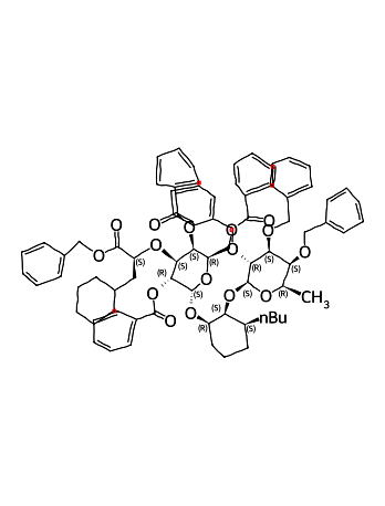 CCCC[C@H]1CCC[C@@H](O[C@H]2O[C@H](COC(=O)c3ccccc3)[C@H](OC(=O)c3ccccc3)[C@H](O[C@@H](CC3CCCCC3)C(=O)OCc3ccccc3)[C@H]2OC(=O)c2ccccc2)[C@H]1O[C@@H]1O[C@H](C)[C@H](OCc2ccccc2)[C@H](OCc2ccccc2)[C@H]1OCc1ccccc1